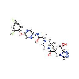 C[C@@H](C(=O)Nc1cnc(Oc2ccc(F)cc2F)cn1)N1CCN(C(=O)C2CC(O)c3nncn3C2)C(C)(C)C1